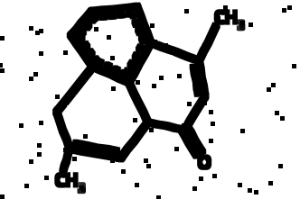 CC1=CC2C(=O)C=C(C)c3cccc(c32)C1